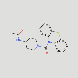 CC(=O)NC1CCN(C(=O)N2c3ccccc3Sc3ccccc32)CC1